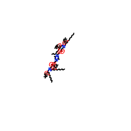 CCCCCCCCC(CN(CCC(=O)OCCN1CC(C)N(CCOC(=O)CCN(CC(CCCCCCCC)O[Si](C)(C)C(C)(C)C)CC(CCCCCCCC)O[Si](C)(C)C(C)(C)C)CC1C)CC(CCCCCCCC)O[Si](C)(C)C(C)(C)C)O[Si](C)(C)C(C)(C)C